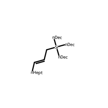 CCCCCCCC=CC[Si](CCCCCCCCCC)(CCCCCCCCCC)CCCCCCCCCC